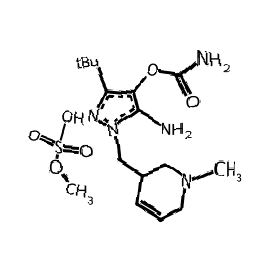 CN1CC=CC(Cn2nc(C(C)(C)C)c(OC(N)=O)c2N)C1.COS(=O)(=O)O